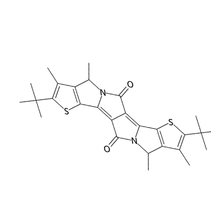 Cc1c(C(C)(C)C)sc2c1C(C)N1C(=O)C3=C4c5sc(C(C)(C)C)c(C)c5C(C)N4C(=O)C3=C21